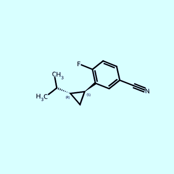 CC(C)[C@H]1C[C@@H]1c1cc(C#N)ccc1F